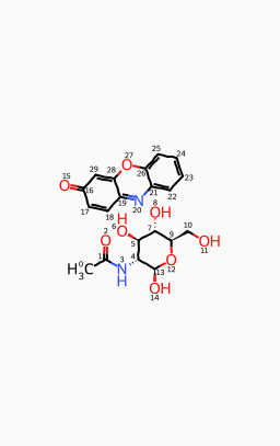 CC(=O)N[C@@H]1[C@@H](O)[C@H](O)[C@@H](CO)O[C@H]1O.O=c1ccc2nc3ccccc3oc-2c1